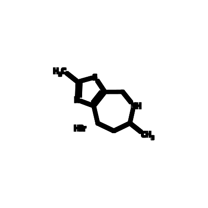 Br.Cc1nc2c(s1)CNC(C)CC2